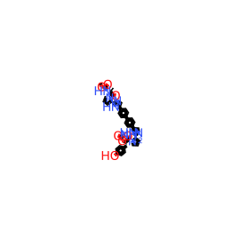 COC(=O)N[C@@H](C)C(=O)N1CCC[C@H]1c1ncc(-c2ccc(-c3ccc(-c4cnc([C@@H]5CCCN5C(=O)[C@H](Cc5ccc(O)cc5)OC(N)=O)[nH]4)cc3)cc2)[nH]1